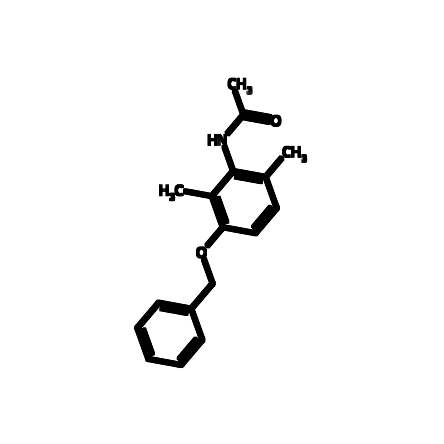 CC(=O)Nc1c(C)ccc(OCc2ccccc2)c1C